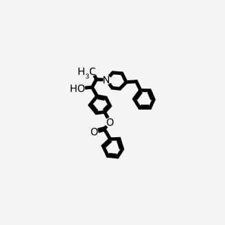 CC(C(O)c1ccc(OC(=O)c2ccccc2)cc1)N1CCC(Cc2ccccc2)CC1